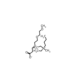 CCCC[N+](C)(CC)CC.COCCOCCOCCC(=O)[O-]